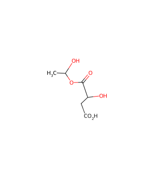 CC(O)OC(=O)C(O)CC(=O)O